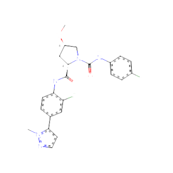 CO[C@@H]1C[C@H](C(=O)Nc2ccc(-c3ccnn3C)cc2F)N(C(=O)Nc2ccc(Cl)cc2)C1